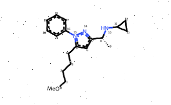 COCCCCc1cc([C@@H](C)NC2CC2)nn1-c1ccccc1